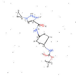 CC(C)(C)OC(=O)NC1CCC(NC(=O)c2cn(C3CC3)nn2)CC1